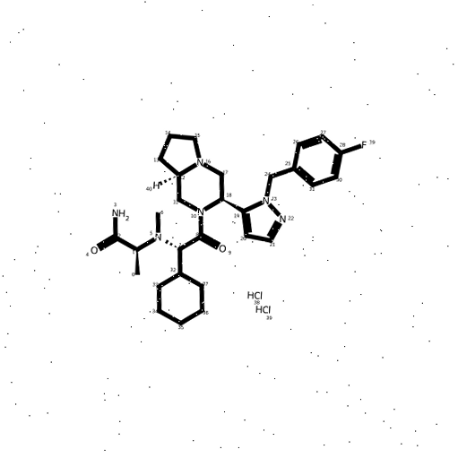 C[C@@H](C(N)=O)N(C)[C@H](C(=O)N1C[C@H]2CCCN2C[C@H]1c1ccnn1Cc1ccc(F)cc1)C1CCCCC1.Cl.Cl